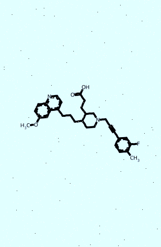 COc1ccc2nccc(CCCC3CCN(CC#Cc4ccc(C)c(F)c4)CC3CCC(=O)O)c2c1